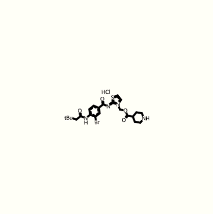 CC(C)(C)CC(=O)Nc1ccc(C(=O)N=c2sccn2COC(=O)C2CCNCC2)cc1Br.Cl